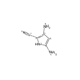 N#Cc1[nH]c(N)cc1N